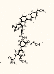 CCN1CCC(Nc2cccc3c(CC(F)(F)F)c(C#CCNc4ccc(C(=O)NC(CCC(N)=O)C(=O)OC)cc4OCCO)sc23)CC1